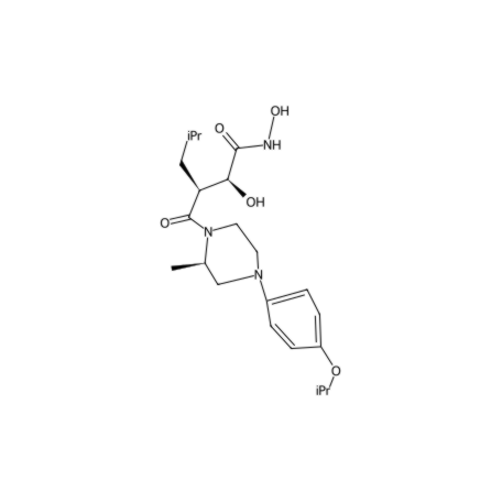 CC(C)C[C@H](C(=O)N1CCN(c2ccc(OC(C)C)cc2)C[C@H]1C)[C@H](O)C(=O)NO